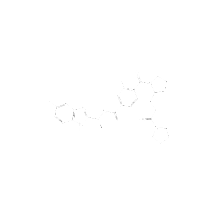 C[C@H](NC(=O)c1ccc(C(=O)N2CCCC2CCC(=O)N2CCCC2)c(Cl)c1)c1nc2cc(Cl)ccc2[nH]1